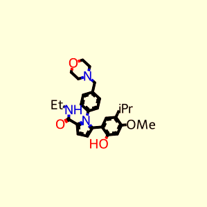 CCNC(=O)c1ccc(-c2cc(C(C)C)c(OC)cc2O)n1-c1ccc(CN2CCOCC2)cc1